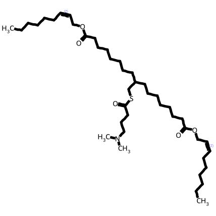 CCCCCC/C=C\COC(=O)CCCCCCCC(CCCCCCCC(=O)OC/C=C\CCCCCC)CSC(=O)CCCN(C)C